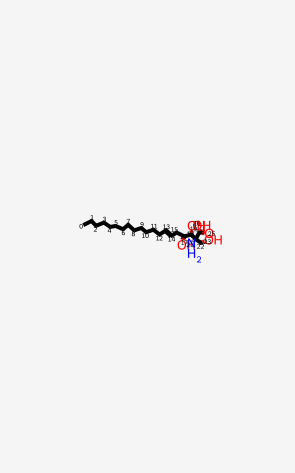 CCCCCCCCCCCCC/C=C/CC(O)C(O)C(N)(CO)C(=O)O